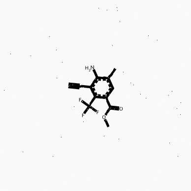 C#Cc1c(N)c(C)cc(C(=O)OC)c1C(F)(F)F